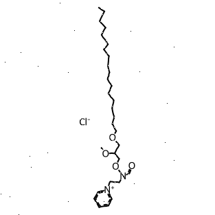 CCCCCCCCCCCCCCCCCCOCC(CON(C=O)CC[n+]1ccccc1)OC.[Cl-]